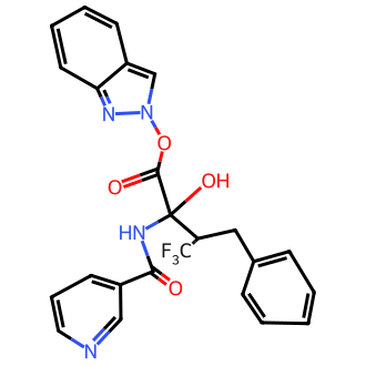 O=C(NC(O)(C(=O)On1cc2ccccc2n1)C(Cc1ccccc1)C(F)(F)F)c1cccnc1